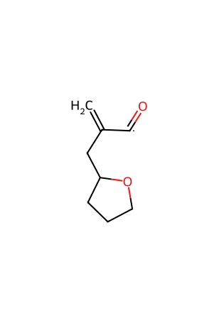 C=C([C]=O)CC1CCCO1